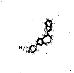 C[C@H]1CN(c2ccc3c(c2)OCOC/C(c2cc4ccccc4o2)=C\3)CCN1